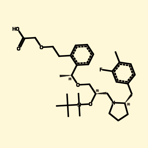 Cc1ccc(C[C@@H]2CCCN2C[C@@H](CO[C@H](C)c2ccccc2CCOCC(=O)O)O[Si](C)(C)C(C)(C)C)cc1F